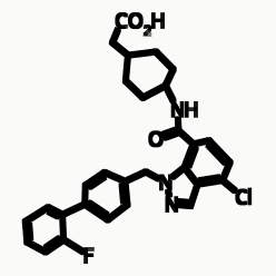 O=C(O)CC1CCC(NC(=O)c2ccc(Cl)c3cnn(Cc4ccc(-c5ccccc5F)cc4)c23)CC1